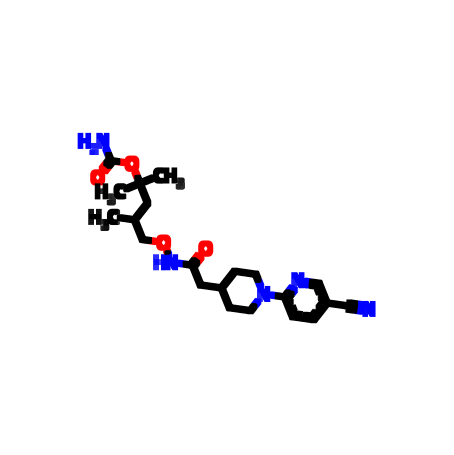 CC(CONC(=O)CC1CCN(c2ccc(C#N)cn2)CC1)CC(C)(C)OC(N)=O